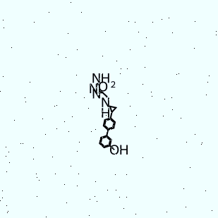 Nc1nnc(CNC2CC2c2ccc(-c3cccc(O)c3)cc2)o1